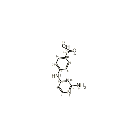 Nc1nccc(Nc2ccc([SH](=O)=O)cc2)n1